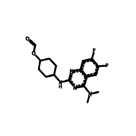 CN(C)c1nc(NC2CCC(OC=O)CC2)nc2cc(F)c(F)cc12